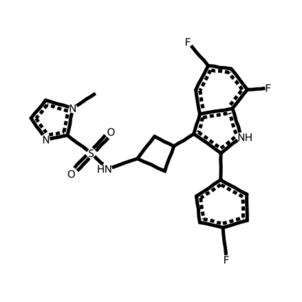 Cn1ccnc1S(=O)(=O)NC1CC(c2c(-c3ccc(F)cc3)[nH]c3c(F)cc(F)cc23)C1